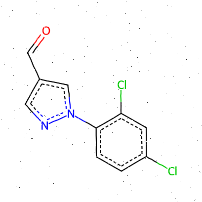 O=Cc1cnn(-c2ccc(Cl)cc2Cl)c1